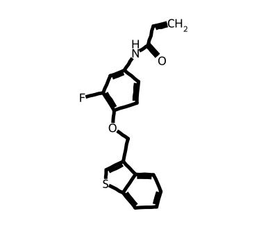 C=CC(=O)Nc1ccc(OCc2csc3ccccc23)c(F)c1